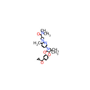 C=C1C=CC(N2CC(C)(C)C(Oc3ccc(C(=O)C4CC4)cc3)C2=O)=CN=C1N1CC(C(=O)N(C)C)C1